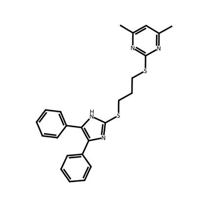 Cc1cc(C)nc(SCCCSc2nc(-c3ccccc3)c(-c3ccccc3)[nH]2)n1